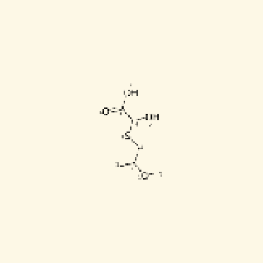 COC(C)CSC(O)C(=O)O